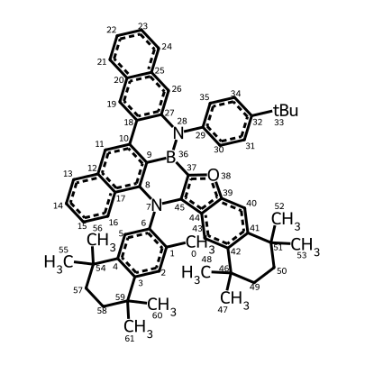 Cc1cc2c(cc1N1c3c4c(cc5ccccc35)-c3cc5ccccc5cc3N(c3ccc(C(C)(C)C)cc3)B4c3oc4cc5c(cc4c31)C(C)(C)CCC5(C)C)C(C)(C)CCC2(C)C